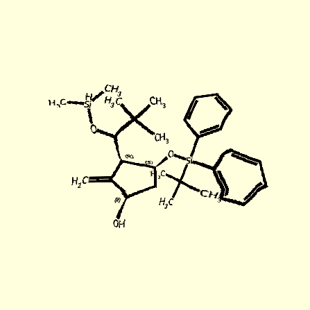 C=C1[C@H](O)C[C@H](O[Si](c2ccccc2)(c2ccccc2)C(C)(C)C)[C@@H]1C(O[SiH](C)C)C(C)(C)C